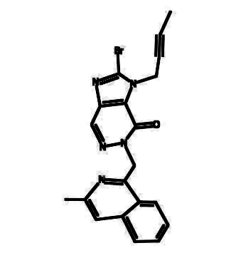 CC#CCn1c(Br)nc2cnn(Cc3nc(C)cc4ccccc34)c(=O)c21